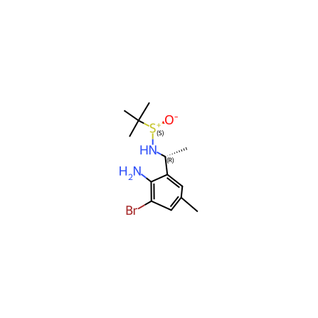 Cc1cc(Br)c(N)c([C@@H](C)N[S@+]([O-])C(C)(C)C)c1